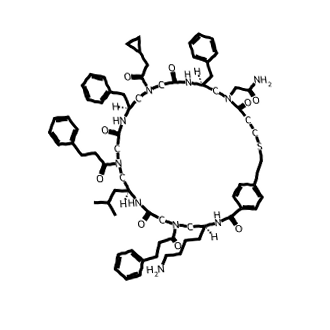 CC(C)C[C@H]1CN(C(=O)CCc2ccccc2)CC(=O)N[C@@H](Cc2ccccc2)CN(C(=O)CC2CC2)CC(=O)N[C@@H](Cc2ccccc2)CN(CC(N)=O)C(=O)CCSCc2ccc(cc2)C(=O)N[C@@H](CCCCN)CN(C(=O)CCc2ccccc2)CC(=O)N1